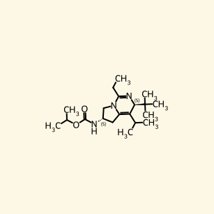 CCC1=N[C@@H](C(C)(C)C)C(C(C)C)=C2C[C@H](NC(=O)OC(C)C)CN12